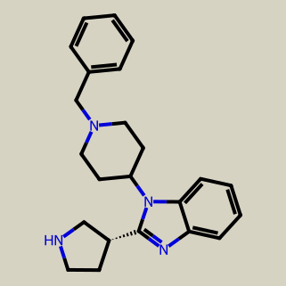 c1ccc(CN2CCC(n3c([C@@H]4CCNC4)nc4ccccc43)CC2)cc1